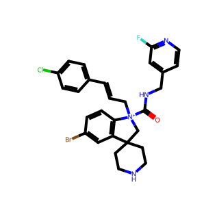 O=C(NCc1ccnc(F)c1)[N+]1(C/C=C/c2ccc(Cl)cc2)CC2(CCNCC2)c2cc(Br)ccc21